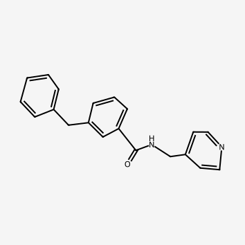 O=C(NCc1ccncc1)c1cccc(Cc2ccccc2)c1